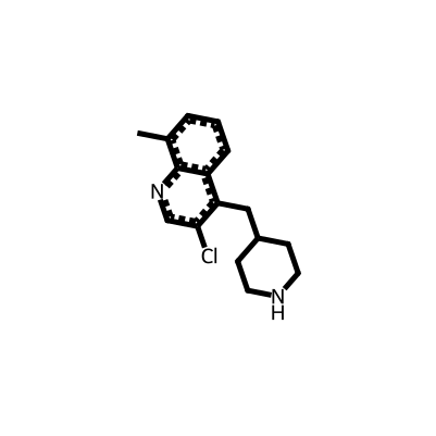 Cc1cccc2c(CC3CCNCC3)c(Cl)cnc12